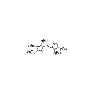 CCCCc1csc(C=Cc2sc(CO)c(CCCC)c2CCCC)c1CCCC